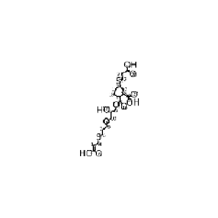 O=C(O)CCSCCCOCC(O)COC(=O)C1CCC(SCCC(=O)O)CC1C(=O)O